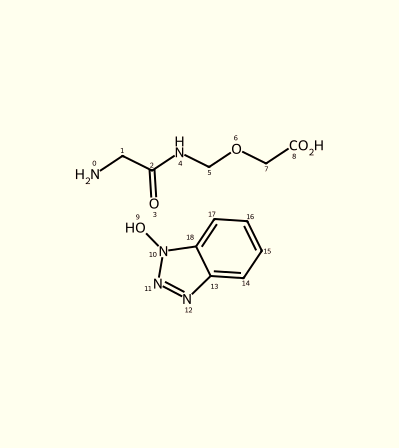 NCC(=O)NCOCC(=O)O.On1nnc2ccccc21